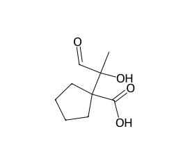 CC(O)(C=O)C1(C(=O)O)CCCC1